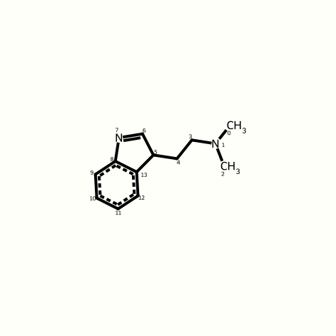 CN(C)CCC1C=Nc2ccccc21